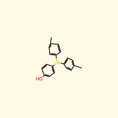 Cc1ccc([S+](c2ccc(C)cc2)c2ccc(O)cc2)cc1